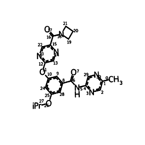 Cc1cnc(NC(=O)c2cc(Oc3cnc(C(=O)N4CCC4)cn3)cc(OC(C)C)c2)cn1